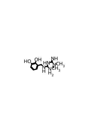 CN(C)C(=N)NC(N)NCc1cccc(O)c1O